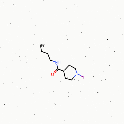 CC(C)CCCNC(=O)C1CCN(I)CC1